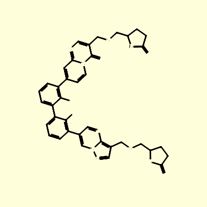 O=C1CCC(CNCc2cnc3cc(-c4cccc(-c5cccc(-c6cnc7c(CNCC8CCC(=O)N8)cnn7c6)c5Cl)c4Cl)ccn3c2=O)N1